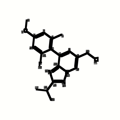 COc1cc(C)c(-c2cc(CCl)cn3nc(C(C)C)nc23)c(F)c1